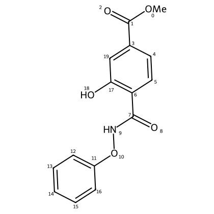 COC(=O)c1ccc(C(=O)NOc2ccccc2)c(O)c1